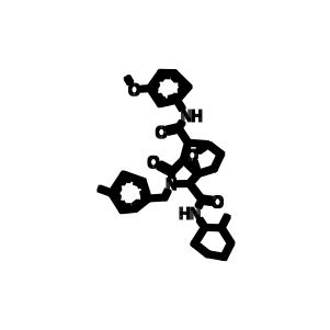 COc1cccc(NC(=O)C2C3CCC4(O3)C2C(=O)N(Cc2ccc(C)cc2)C4C(=O)NC2CCCCC2C)c1